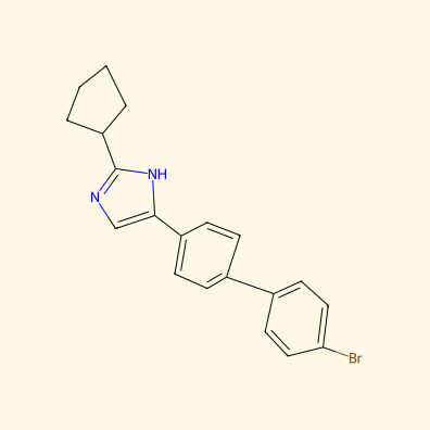 Brc1ccc(-c2ccc(-c3cnc(C4CCCC4)[nH]3)cc2)cc1